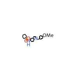 COc1ccc(Cn2ccc3cc(NS(=O)(=O)C4CCCCC4)ccc32)cc1